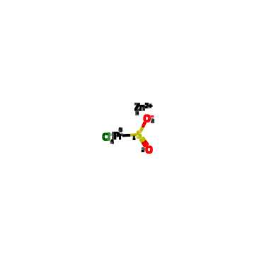 CC(C)S(=O)[O-].[Cl-].[Zn+2]